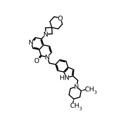 C[C@H]1CCN(Cc2cc3ccc(Cn4ccc5c(N6CC7(CCOCC7)C6)cncc5c4=O)cc3[nH]2)[C@@H](C)C1